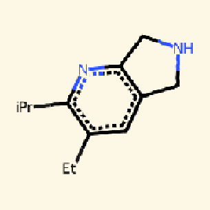 CCc1cc2c(nc1C(C)C)CNC2